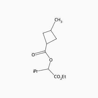 CCOC(=O)C(OC(=O)C1CC(C)C1)C(C)C